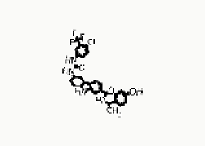 CC(NC(=O)c1ccc2c3c([nH]c2c1)CCC(NC(=O)Nc1ccc(Cl)c(C(F)(F)F)c1)C3)c1ccc(O)cc1